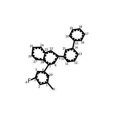 Cc1cc(F)cc(-c2cc(-c3cccc(-c4ccccc4)c3)cc3ccccc23)c1